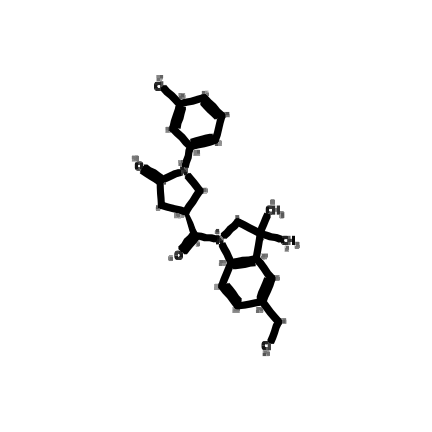 CC1(C)CN(C(=O)[C@H]2CC(=O)N(c3cccc(Cl)c3)C2)c2ccc(CCl)cc21